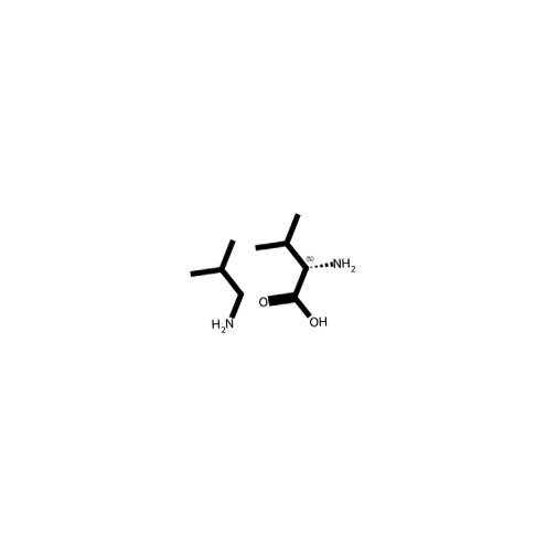 CC(C)CN.CC(C)[C@H](N)C(=O)O